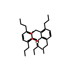 CCCc1ccc(CCC)c(N=C(C)CC)c1Cc1c(CCC)ccc(CCC)c1N=C(C)CC